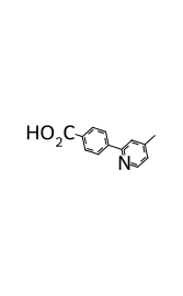 Cc1ccnc(-c2ccc(C(=O)O)cc2)c1